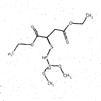 CCOC(=O)CC(SP[SH](OC)OC)C(=O)OCC